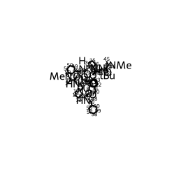 CN[C@@H](C)C(=O)N[C@H](C(=O)N1CCC[C@H]1C(=O)N[C@H](COCc1cccc(COC[C@@H](NC(=O)[C@@H]2CCCN2C(=O)[C@@H](NC(=O)[C@H](C)NC)C(C)(C)C)C2CCCCC2)c1)C1CCCCC1)C(C)(C)C